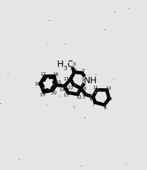 CC1CNC2(CC3CCCCC3)CCC(c3ccccc3)C1C2